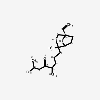 C=C[C@@]12CCC(O1)C(C)(CCCC(C)C(=O)CC(C)C(C)C)OC2